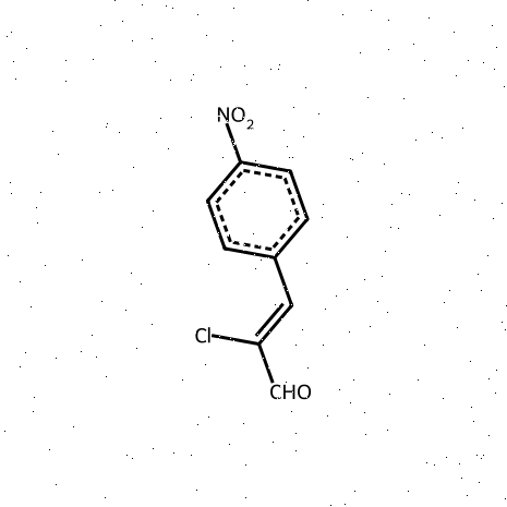 O=CC(Cl)=Cc1ccc([N+](=O)[O-])cc1